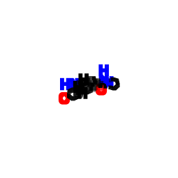 C[C@]12CC[C@H]3[C@@H](CNC4=CC(=O)CC[C@@]43C)[C@@H]1CC[C@@H]2C(=O)NN1CCCCC1